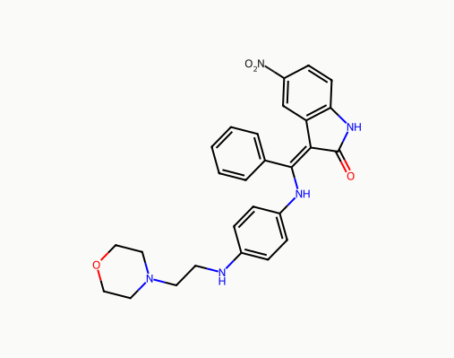 O=C1Nc2ccc([N+](=O)[O-])cc2C1=C(Nc1ccc(NCCN2CCOCC2)cc1)c1ccccc1